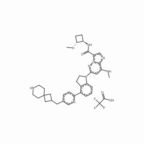 CNc1cc(N2CCc3c(-c4ccc(CC5CC6(CCNCC6)C5)cn4)cccc32)nn2c(C(=O)N[C@@H]3CC[C@H]3OC)cnc12.O=C(O)C(F)(F)F